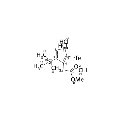 COC(=O)CC1=[C]([Ti])CC=C1[Si](C)(C)C.Cl.Cl.Cl